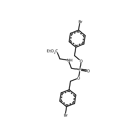 CCOC(=O)CNCP(=O)(OCc1ccc(Br)cc1)OCc1ccc(Br)cc1